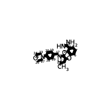 CCCC(Oc1cccc(C(=N)N)c1)C(=O)NCc1ccc(N2CCOCC2)cc1